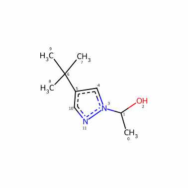 CC(O)n1cc(C(C)(C)C)cn1